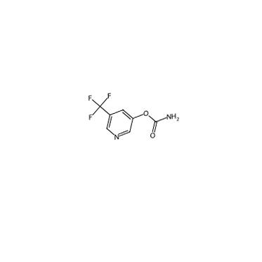 NC(=O)Oc1cncc(C(F)(F)F)c1